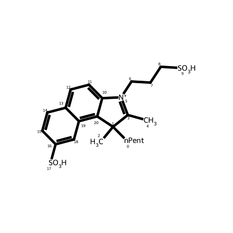 CCCCCC1(C)C(C)=[N+](CCCS(=O)(=O)O)c2ccc3ccc(S(=O)(=O)O)cc3c21